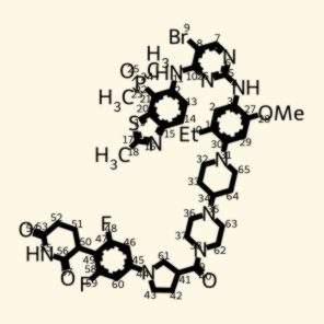 CCc1cc(Nc2ncc(Br)c(Nc3ccc4nc(C)sc4c3P(C)(C)=O)n2)c(OC)cc1N1CCC(N2CCN(C(=O)C3CCN(c4cc(F)c(C5CCC(=O)NC5=O)c(F)c4)C3)CC2)CC1